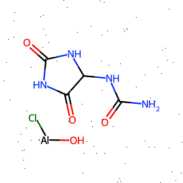 NC(=O)NC1NC(=O)NC1=O.[OH][Al][Cl]